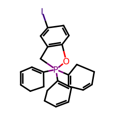 Ic1ccc2c(c1)CP(C1=CC=CCC1)(C1=CC=CCC1)(C1=CC=CCC1)O2